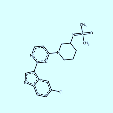 CS(C)(=O)=NC1CCCN(c2ccnc(-c3cnc4ccc(Cl)cn34)n2)C1